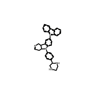 C1=NCC2c3cc(-n4c5ccccc5c5ccccc54)ccc3N(c3ccc(C4CNCCN4)cc3)C2C1